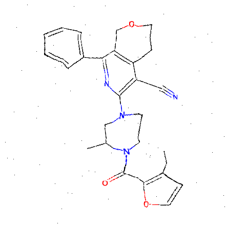 Cc1ccoc1C(=O)N1CCN(c2nc(-c3ccccc3)c3c(c2C#N)CCOC3)CC1C